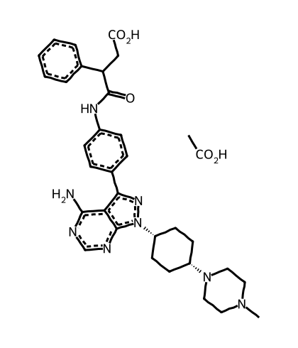 CC(=O)O.CN1CCN([C@H]2CC[C@@H](n3nc(-c4ccc(NC(=O)C(CC(=O)O)c5ccccc5)cc4)c4c(N)ncnc43)CC2)CC1